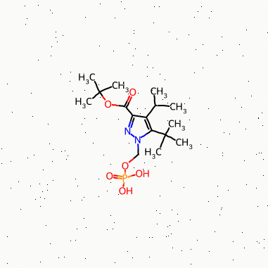 CC(C)c1c(C(=O)OC(C)(C)C)nn(COP(=O)(O)O)c1C(C)(C)C